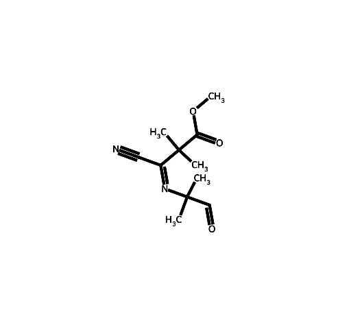 COC(=O)C(C)(C)/C(C#N)=N\C(C)(C)C=O